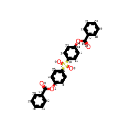 O=C(Oc1ccc(S(=O)(=O)c2ccc(OC(=O)c3ccccc3)cc2)cc1)c1ccccc1